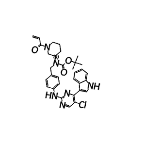 C=CC(=O)N1CCC[C@@H](N(Cc2ccc(Nc3ncc(Cl)c(-c4c[nH]c5ccccc45)n3)cc2)C(=O)OC(C)(C)C)C1